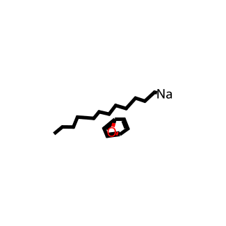 CCCCCCCCCCC[CH2][Na].c1cc2ccc1o2